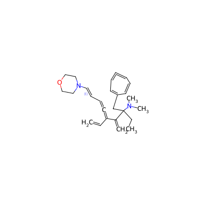 C=CC(=C=C/C=C/N1CCOCC1)C(=C)C(CC)(CC1=CC=C=CC=C1)N(C)C